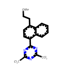 COCCc1ccc(-c2nc(C(Cl)(Cl)Cl)nc(C(Cl)(Cl)Cl)n2)c2ccccc12